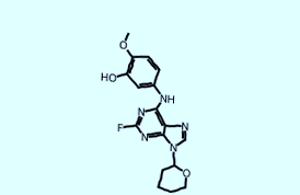 COc1ccc(Nc2nc(F)nc3c2ncn3C2CCCCO2)cc1O